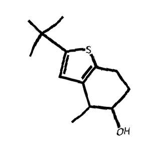 CC1c2cc(C(C)(C)C)sc2CCC1O